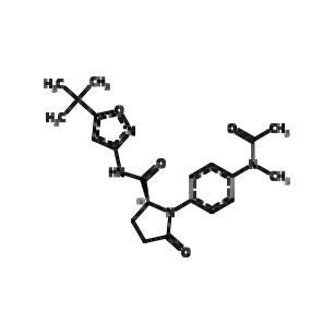 CC(=O)N(C)c1ccc(N2C(=O)CC[C@H]2C(=O)Nc2cc(C(C)(C)C)on2)cc1